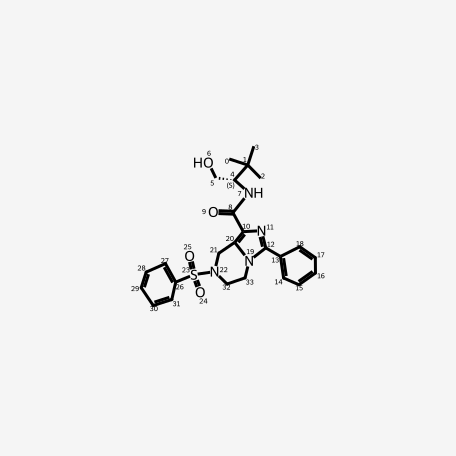 CC(C)(C)[C@@H](CO)NC(=O)c1nc(-c2ccccc2)n2c1CN(S(=O)(=O)c1ccccc1)CC2